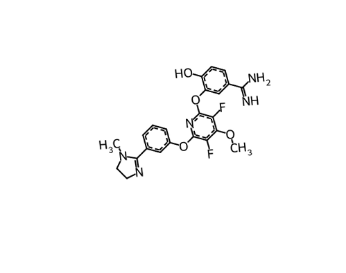 COc1c(F)c(Oc2cccc(C3=NCCN3C)c2)nc(Oc2cc(C(=N)N)ccc2O)c1F